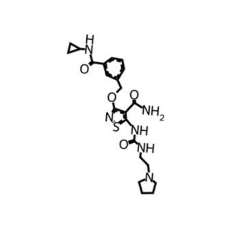 NC(=O)c1c(OCc2cccc(C(=O)NC3CC3)c2)nsc1NC(=O)NCCN1CCCC1